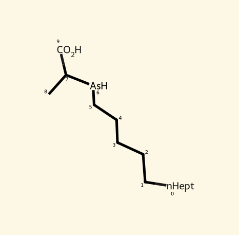 CCCCCCCCCCCC[AsH]C(C)C(=O)O